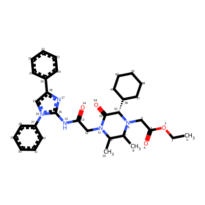 CCOC(=O)CN1C(C)C(C)N(CC(=O)Nc2nc(-c3ccccc3)cn2-c2ccccc2)C(=O)[C@@H]1C1CCCCC1